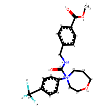 COC(=O)c1ccc(CNC(=O)[N+]2(c3ccc(C(F)(F)F)cc3)CCCOCC2)cc1